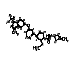 CCc1cc(-c2cc(Oc3ccc4c(C(F)(F)F)nn(C)c4c3)ccn2)ccc1C(=O)NC1CN(C)C1